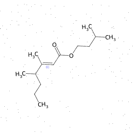 CCCC(C)/C(C)=C/C(=O)OCCC(C)C